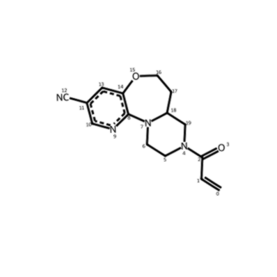 C=CC(=O)N1CCN2c3ncc(C#N)cc3OCCC2C1